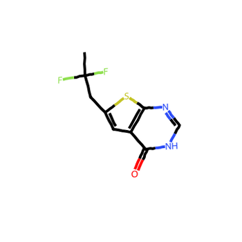 CC(F)(F)Cc1cc2c(=O)[nH]cnc2s1